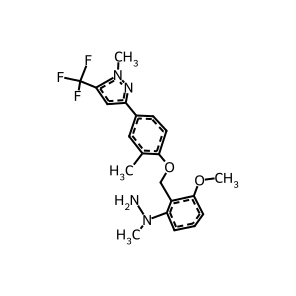 COc1cccc(N(C)N)c1COc1ccc(-c2cc(C(F)(F)F)n(C)n2)cc1C